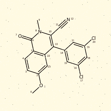 COc1ccc2c(=O)n(C)c(C#N)c(-c3cc(Cl)cc(Cl)c3)c2c1